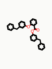 O=C(Oc1cccc(Cc2ccccc2)c1)c1ccccc1Oc1cccc(Cc2ccccc2)c1